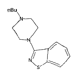 [CH2]CCCN1CCN(c2nsc3ccccc23)CC1